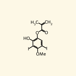 C=C(C)C(=O)Oc1cc(I)c(OC)c(I)c1O